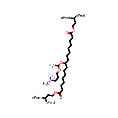 CCCCCC(CCCCC)CCOC(=O)CCCCCCCC(CCCCCCCC(=O)OCCC(CCCCC)CCCCC)OC(C)OCCCN(C)C